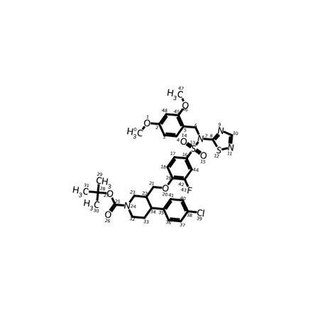 COc1ccc(CN(c2ncns2)S(=O)(=O)c2ccc(OCC3CN(C(=O)OC(C)(C)C)CCC3c3ccc(Cl)cc3)c(F)c2)c(OC)c1